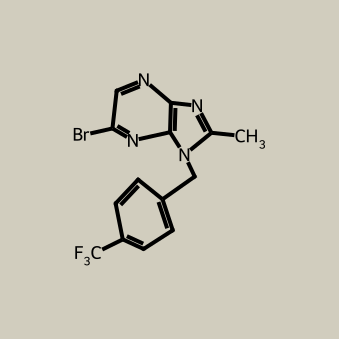 Cc1nc2ncc(Br)nc2n1Cc1ccc(C(F)(F)F)cc1